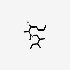 C/C=C\C=C(\F)C(C)N(C)CC(C)C(C)CC